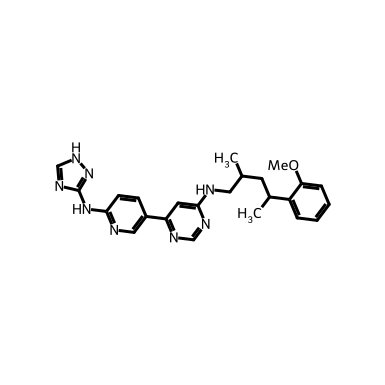 COc1ccccc1C(C)CC(C)CNc1cc(-c2ccc(Nc3nc[nH]n3)nc2)ncn1